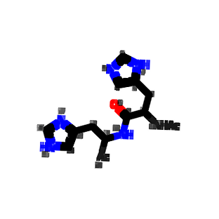 CC(=O)NC(Cc1cnc[nH]1)C(=O)NC(Cc1c[nH]cn1)C(C)=O